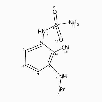 CC(C)Nc1cccc(NS(N)(=O)=O)c1C#N